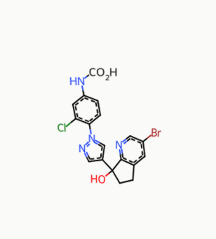 O=C(O)Nc1ccc(-n2cc(C3(O)CCc4cc(Br)cnc43)cn2)c(Cl)c1